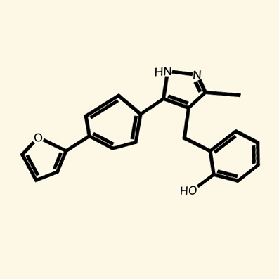 Cc1n[nH]c(-c2ccc(-c3ccco3)cc2)c1Cc1ccccc1O